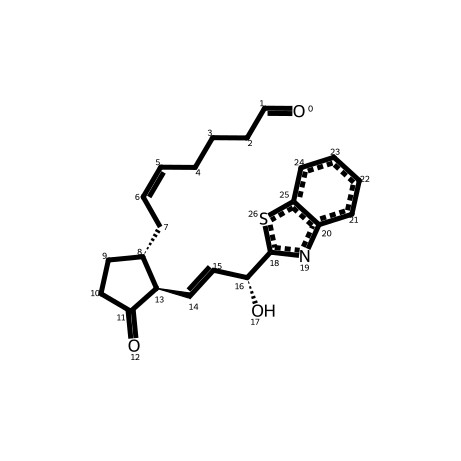 O=CCCC/C=C\C[C@H]1CCC(=O)[C@@H]1/C=C/[C@@H](O)c1nc2ccccc2s1